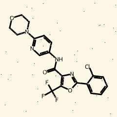 O=C(Nc1ccc(N2CCOCC2)nc1)c1nc(-c2ccccc2Cl)oc1C(F)(F)F